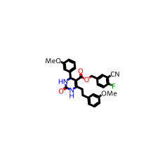 COc1cccc(CCC2=C(C(=O)OCc3ccc(F)c(C#N)c3)C(c3cccc(OC)c3)NC(=O)N2)c1